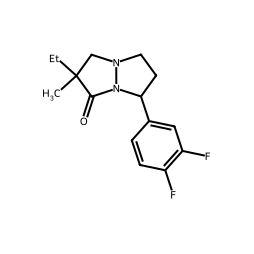 CCC1(C)CN2CCC(c3ccc(F)c(F)c3)N2C1=O